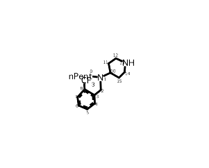 CCCCCN(Cc1ccccc1C(F)(F)F)C1CCNCC1